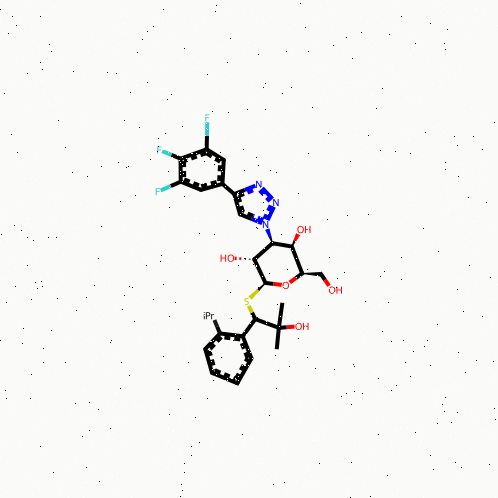 CC(C)c1ccccc1C(S[C@@H]1O[C@H](CO)[C@H](O)[C@H](n2cc(-c3cc(F)c(F)c(F)c3)nn2)[C@H]1O)C(C)(C)O